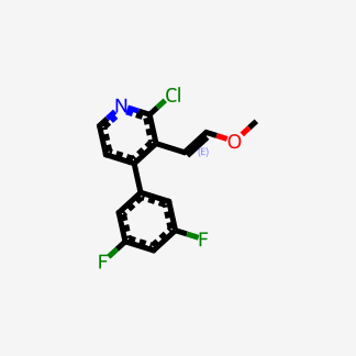 CO/C=C/c1c(-c2cc(F)cc(F)c2)ccnc1Cl